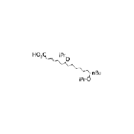 CCCCC(CCCCCCC(CCC=CCC(=O)O)OC(C)C)OC(C)C